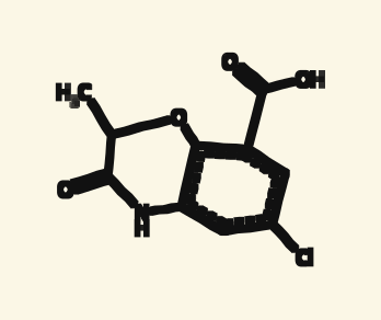 CC1Oc2c(cc(Cl)cc2C(=O)O)NC1=O